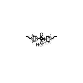 CCCN1[C@H](C)CN(c2c(O)c(=[N+]3C[C@@H](C)N(CCC)[C@@H](C)C3)c2=O)C[C@@H]1C.[OH-]